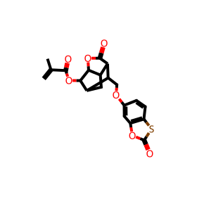 C=C(C)C(=O)OC1C2CC3C1OC(=O)C3C2COc1ccc2sc(=O)oc2c1